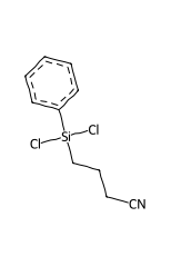 N#CCCC[Si](Cl)(Cl)c1ccccc1